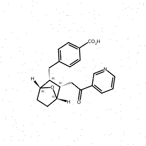 O=C(O)c1ccc(C[C@@H]2[C@H](CC(=O)c3cccnc3)[C@@H]3CC[C@H]2O3)cc1